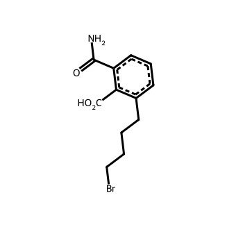 NC(=O)c1cccc(CCCCBr)c1C(=O)O